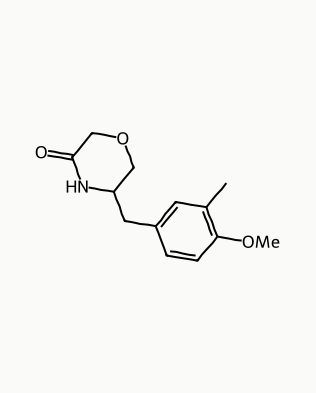 COc1ccc(CC2COCC(=O)N2)cc1C